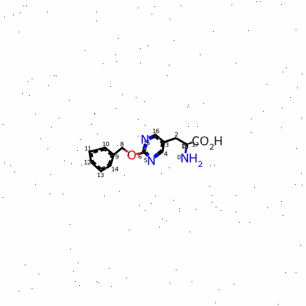 N[C@@H](Cc1cnc(OCc2ccccc2)nc1)C(=O)O